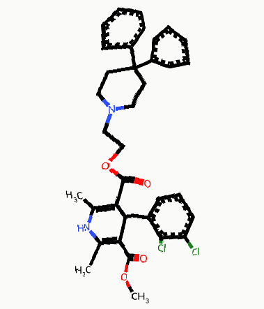 COC(=O)C1=C(C)NC(C)=C(C(=O)OCCN2CCC(c3ccccc3)(c3ccccc3)CC2)C1c1cccc(Cl)c1Cl